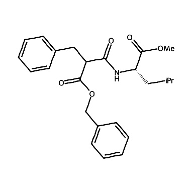 COC(=O)[C@H](CC(C)C)NC(=O)C(Cc1ccccc1)C(=O)OCc1ccccc1